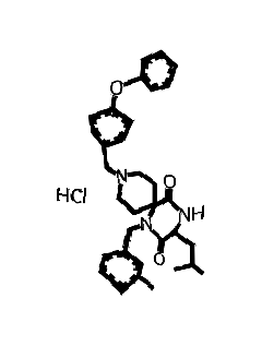 Cc1cccc(CN2C(=O)C(CC(C)C)NC(=O)C23CCN(Cc2ccc(Oc4ccccc4)cc2)CC3)c1.Cl